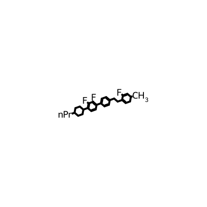 CCCC1CCC(c2ccc(-c3ccc(CCC4=CCC(C)C=C4F)cc3)c(F)c2F)CC1